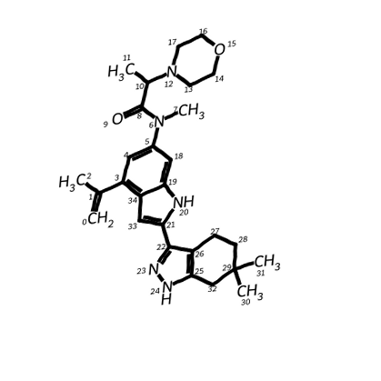 C=C(C)c1cc(N(C)C(=O)C(C)N2CCOCC2)cc2[nH]c(-c3n[nH]c4c3CCC(C)(C)C4)cc12